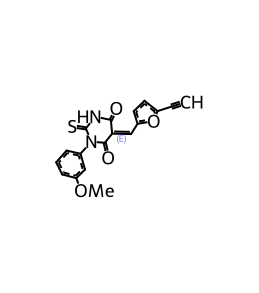 C#Cc1ccc(/C=C2\C(=O)NC(=S)N(c3cccc(OC)c3)C2=O)o1